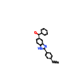 CNc1ccc(-c2nc3cc(C(=O)c4ccccc4)ccc3[nH]2)cc1